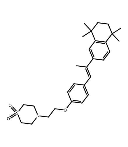 CC(=Cc1ccc(OCCN2CCS(=O)(=O)CC2)cc1)c1ccc2c(c1)C(C)(C)CCC2(C)C